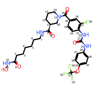 O=C(CCCCCCNC(=O)[C@H]1CCCN(C(=O)c2ccc(NC(=O)Nc3ccc(OC(F)(F)F)cc3)c(F)c2)C1)NO